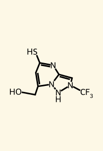 OCC1=CC(S)=NC2=CN(C(F)(F)F)NN12